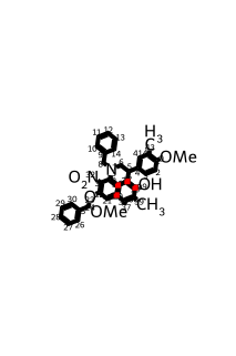 COc1ccc(C(CN(Cc2ccccc2)c2c(CCO)ccc(OCc3ccccc3)c2[N+](=O)[O-])c2ccc(OC)c(C)c2)cc1C